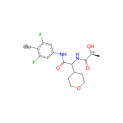 C[C@H](O)C(=O)NC(C(=O)Nc1cc(F)c(C(C)(C)C)c(F)c1)C1CCOCC1